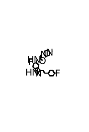 CN1CCN(CC(=O)Nc2cc3c(C=Cc4ccc(F)cc4)n[nH]c3cc2F)CC1